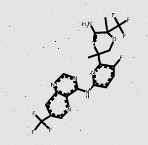 CC1(c2nc(Nc3ncnc4cc(C(F)(F)F)cnc34)ccc2F)COC(C)(C(F)(F)F)C(N)=N1